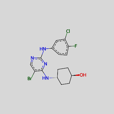 O[C@H]1CC[C@H](Nc2nc(Nc3ccc(F)c(Cl)c3)ncc2Br)CC1